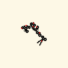 CCCCCCCC1(CCCCCCC)c2ccccc2-c2ccc(-c3ccc4c(c3)C(C)(C)c3cc(-c5cc6c(c7c5sc5ccccc57)-c5ccc(N(c7ccc8c(c7)C(C)(C)c7c9c(c%10oc%11ccccc%11c%10c7-8)-c7ccccc7C9(C)C)c7cccc8c7-c7ccccc7C8(C)C)cc5C6)ccc3-4)cc21